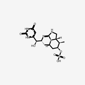 C[C@H]1[C@@H](OS(=O)(=O)O)C[C@@H]2C[C@H]([C@@H](O)c3cc(=O)[nH]c(=O)[nH]3)N=C3NC[C@H]1N32